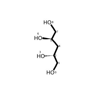 OC[C@H](O)C[C@@H](O)CO